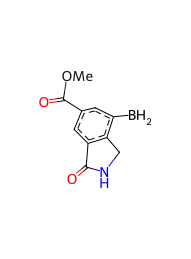 Bc1cc(C(=O)OC)cc2c1CNC2=O